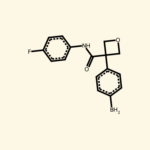 Bc1ccc(C2(C(=O)Nc3ccc(F)cc3)COC2)cc1